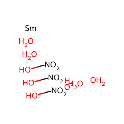 O.O.O.O.O.O=[N+]([O-])O.O=[N+]([O-])O.O=[N+]([O-])O.[Sm]